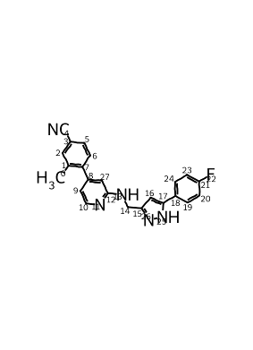 Cc1cc(C#N)ccc1-c1ccnc(NCc2cc(-c3ccc(F)cc3)[nH]n2)c1